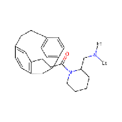 CCN(CC)CC1CCCCN1C(=O)CCc1cc2ccc1CCc1ccc(cc1)CC2